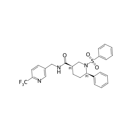 O=C(NCc1ccc(C(F)(F)F)nc1)[C@@H]1CC[C@H](c2ccccc2)N(S(=O)(=O)c2ccccc2)C1